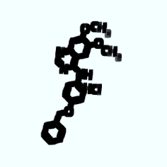 COc1cc2ncnc(Nc3ccc(OCc4ccccc4)cc3)c2cc1OC.Cl